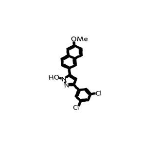 COc1ccc2cc(-c3cc(-c4cc(Cl)cc(Cl)c4)nn3O)ccc2c1